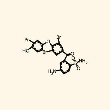 CC(C)c1cc(Oc2c(Br)cc(C(=O)c3cc(N)ccc3S(N)(=O)=O)cc2Br)ccc1O